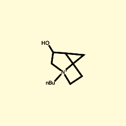 CCCC[N+]12CCC13CC3C(O)C2